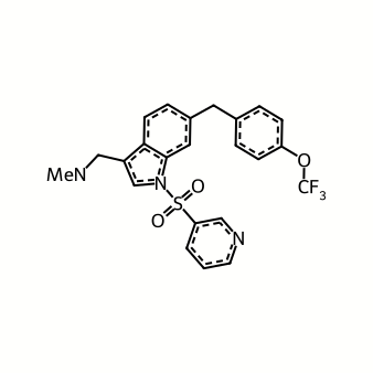 CNCc1cn(S(=O)(=O)c2cccnc2)c2cc(Cc3ccc(OC(F)(F)F)cc3)ccc12